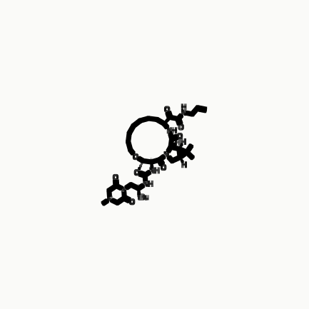 C=CCNC(=O)C(=O)[C@@H]1CCCCCCCO[C@@H](C)[C@H](NC(=O)N[C@H](CN2C(=O)CN(C)CC2=O)C(C)(C)C)C(=O)N2C[C@H]3[C@@H]([C@H]2C(=O)N1)C3(C)C